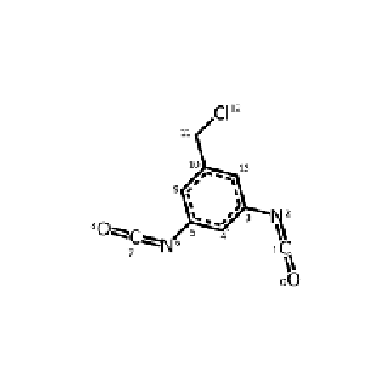 O=C=Nc1[c]c(N=C=O)cc(CCl)c1